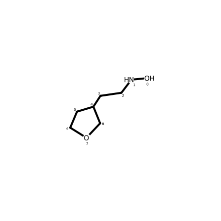 ONCCC1CCOC1